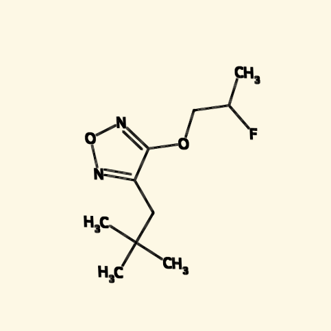 CC(F)COc1nonc1CC(C)(C)C